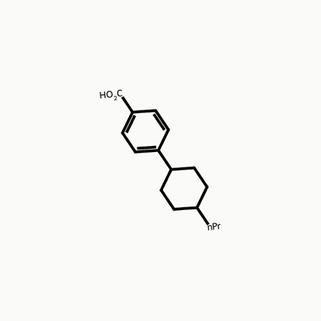 CCCC1CCC(c2ccc(C(=O)O)cc2)CC1